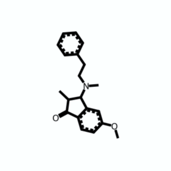 COc1ccc2c(c1)C(N(C)CCc1ccccc1)C(C)C2=O